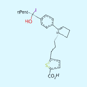 CCCCCC(O)(I)c1ccc(C2=CCC[C@@H]2CCCc2ccc(C(=O)O)s2)cc1